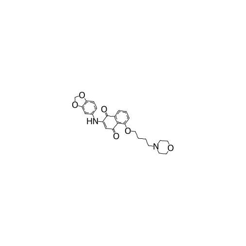 O=C1C(Nc2ccc3c(c2)OCO3)=CC(=O)c2c(OCCCCN3CCOCC3)cccc21